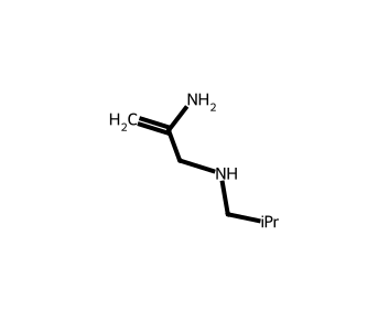 [CH2]C(C)CNCC(=C)N